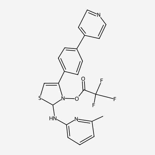 Cc1cccc(NC2SC=C(c3ccc(-c4ccncc4)cc3)N2OC(=O)C(F)(F)F)n1